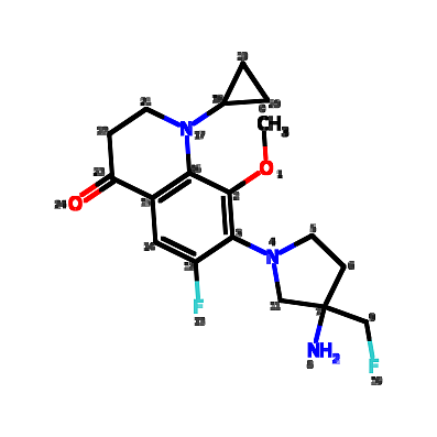 COc1c(N2CCC(N)(CF)C2)c(F)cc2c1N(C1CC1)CCC2=O